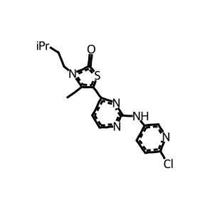 Cc1c(-c2ccnc(Nc3ccc(Cl)nc3)n2)sc(=O)n1CCC(C)C